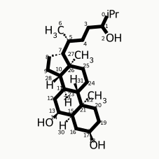 CC(C)C(O)CC[C@@H](C)[C@H]1CC[C@H]2[C@@H]3C[C@H](O)[C@@H]4C[C@H](O)CC[C@]4(C)[C@H]3CC[C@]12C